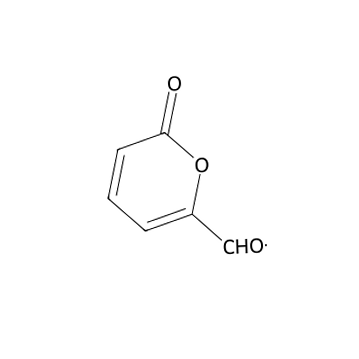 O=[C]c1cccc(=O)o1